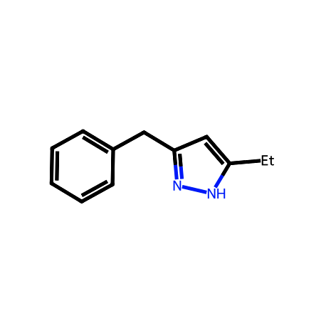 CCc1cc(Cc2ccccc2)n[nH]1